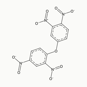 O=[N+]([O-])c1ccc(Oc2ccc([N+](=O)[O-])c([N+](=O)[O-])c2)c([N+](=O)[O-])c1